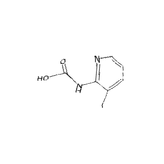 O=C(O)Nc1ncccc1I